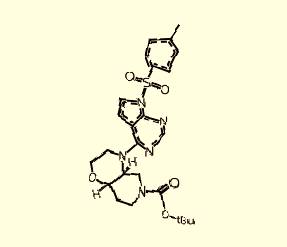 Cc1ccc(S(=O)(=O)n2ccc3c(N4CCO[C@H]5CCN(C(=O)OC(C)(C)C)C[C@H]54)ncnc32)cc1